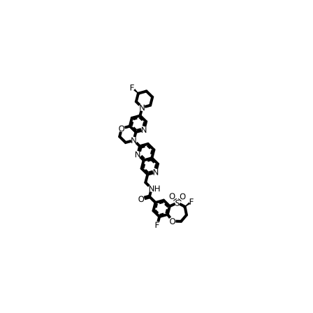 O=C(NCc1cc2nc(N3CCOc4cc(N5CCC[C@H](F)C5)cnc43)ccc2cn1)c1cc(F)c2c(c1)S(=O)(=O)[C@@H](F)CCO2